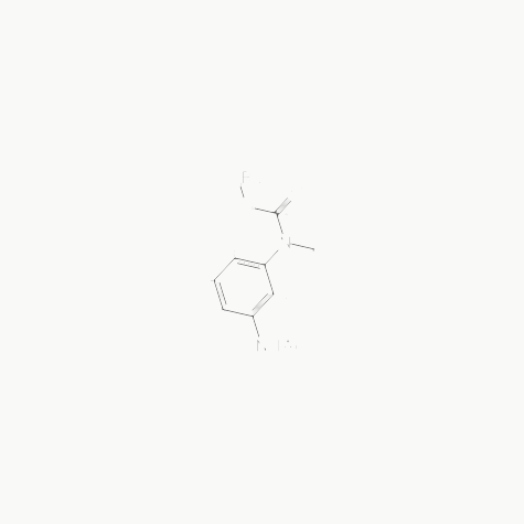 CC(=O)Nc1cccc(N(C)C(=O)OC(C)(C)C)c1